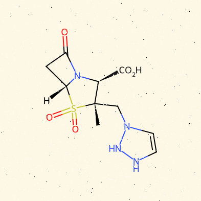 C[C@]1(CN2C=CNN2)[C@H](C(=O)O)N2C(=O)C[C@H]2S1(=O)=O